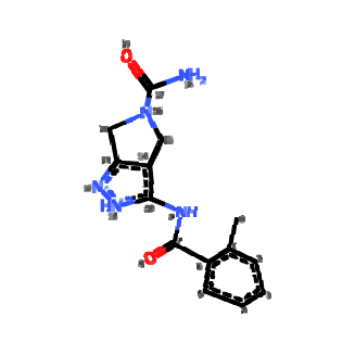 Cc1ccccc1C(=O)Nc1[nH]nc2c1CN(C(N)=O)C2